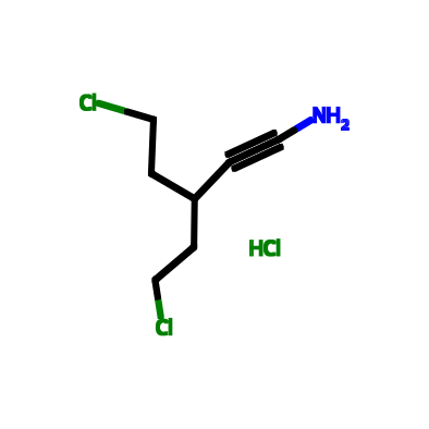 Cl.NC#CC(CCCl)CCCl